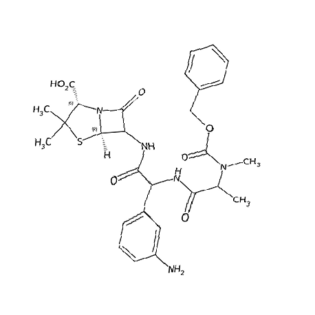 CC(C(=O)NC(C(=O)NC1C(=O)N2[C@@H]1SC(C)(C)[C@@H]2C(=O)O)c1cccc(N)c1)N(C)C(=O)OCc1ccccc1